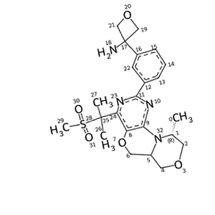 C[C@@H]1COCC2COc3c(nc(-c4cccc(C5(N)COC5)c4)nc3C(C)(C)S(C)(=O)=O)N21